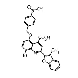 CCc1ccc(OCc2ccc([S+](C)[O-])cc2)c2c(C(=O)O)cc(-c3oc4ccccc4c3C)nc12